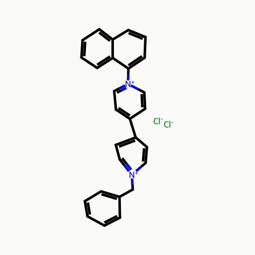 [Cl-].[Cl-].c1ccc(C[n+]2ccc(-c3cc[n+](-c4cccc5ccccc45)cc3)cc2)cc1